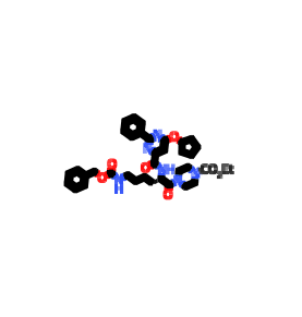 CCOC(=O)N1CCN(C(=O)[C@H](CCCCNC(=O)OCc2ccccc2)NC(=O)c2cc(OC3CCCC3)nc(-c3ccccc3)n2)CC1